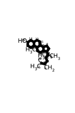 C=C(CC[C@@H](C)C1CCC2C3=CCC4C[C@@H](O)CC[C@]4(C)C3CC[C@@]21C)C(C)C